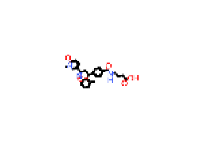 Cc1ccccc1C(C/C(=N\O)c1ccc(=O)n(C)c1)c1ccc(C(=O)NCCCC(=O)O)cc1